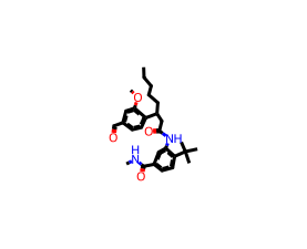 CCCCCC(CC(=O)Nc1cc(C(=O)NC)ccc1C(C)(C)C)c1ccc(C=O)cc1OC